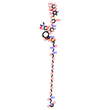 CCN(C(C)=O)[C@H]1CO[C@@H](O[C@H]2[C@H](O[C@H]3C#C/C=C\C#CC4(O)CC(=O)C(NC(=O)OC)=C3/C4=C\CSSC(C)(C)CCC(=O)NCCNC(=O)CCOCCOCCOCCOCCOCCOCCOCCOCCNC(=O)CCN3C(=O)C=CC3=O)O[C@H](C)[C@@H](NO[C@H]3C[C@H](O)[C@H](SC(=O)c4c(C)c(I)c(O[C@@H]5O[C@@H](C)[C@H](O)[C@@H](OC)[C@H]5O)c(OC)c4OC)[C@@H](C)O3)[C@@H]2O)C[C@@H]1OC